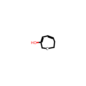 OC1=CC=CCCCC1